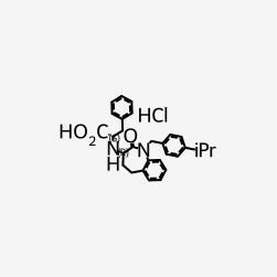 CC(C)c1ccc(CN2C(=O)[C@H](N[C@@H](Cc3ccccc3)C(=O)O)CCc3ccccc32)cc1.Cl